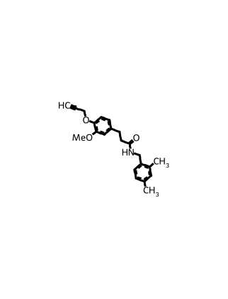 C#CCOc1ccc(CCC(=O)NCc2ccc(C)cc2C)cc1OC